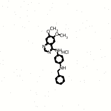 COc1cc2ncnc(Nc3ccc(NCc4ccccc4)cc3)c2cc1OC.Cl